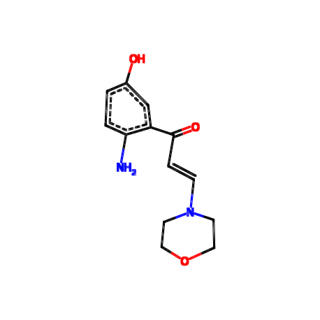 Nc1ccc(O)cc1C(=O)C=CN1CCOCC1